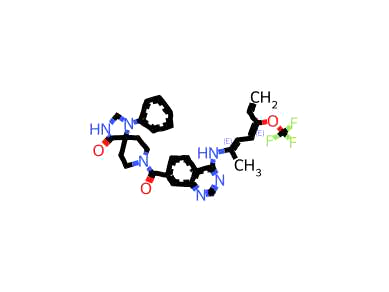 C=C/C(=C\C=C(/C)Nc1ncnc2cc(C(=O)N3CCC4(CC3)C(=O)NCN4c3ccccc3)ccc12)OC(F)(F)F